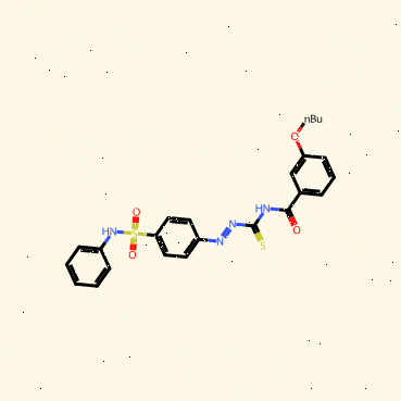 CCCCOc1cccc(C(=O)NC(=S)N=Nc2ccc(S(=O)(=O)Nc3ccccc3)cc2)c1